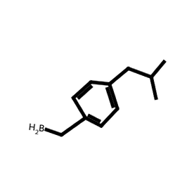 BCc1ccc(CC(C)C)cc1